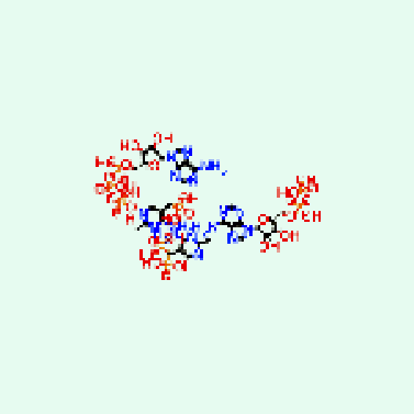 Cc1ncc(C(P(=O)(O)O)P(=O)(O)O)c(N)n1.Cc1ncc(CP(=O)(O)O)c(N)n1.Nc1ncnc2c1ncn2[C@@H]1O[C@H](COP(=O)(O)OP(=O)(O)O)[C@@H](O)[C@H]1O.Nc1ncnc2c1ncn2[C@@H]1O[C@H](COP(=O)(O)OP(=O)(O)OP(=O)(O)O)[C@@H](O)[C@H]1O